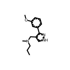 CCCN(C)Cc1c[nH]nc1-c1cccc(OC)c1